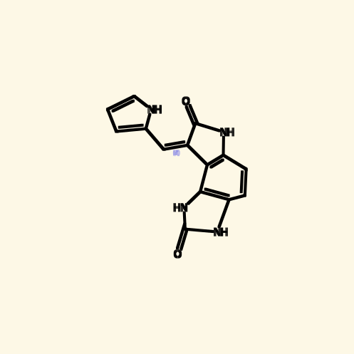 O=C1Nc2ccc3[nH]c(=O)[nH]c3c2/C1=C/c1ccc[nH]1